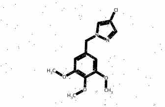 COc1cc(Cn2cc(Cl)cn2)cc(OC)c1OC